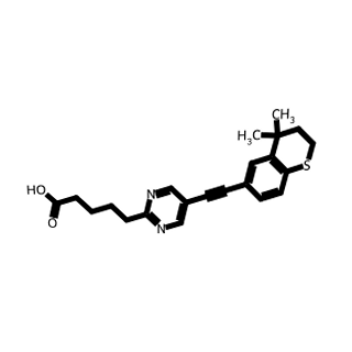 CC1(C)CCSc2ccc(C#Cc3cnc(CCCCC(=O)O)nc3)cc21